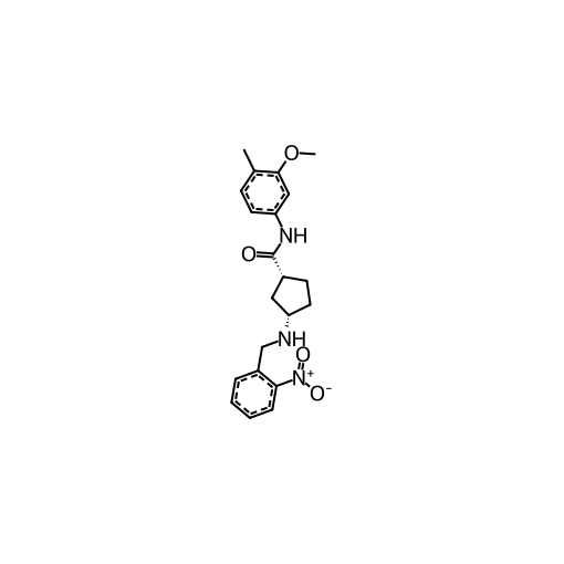 COc1cc(NC(=O)[C@@H]2CC[C@H](NCc3ccccc3[N+](=O)[O-])C2)ccc1C